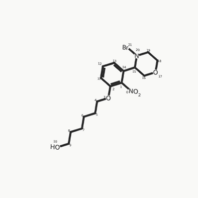 O=[N+]([O-])c1c(OCCCCCCO)cccc1C1COCCN1Br